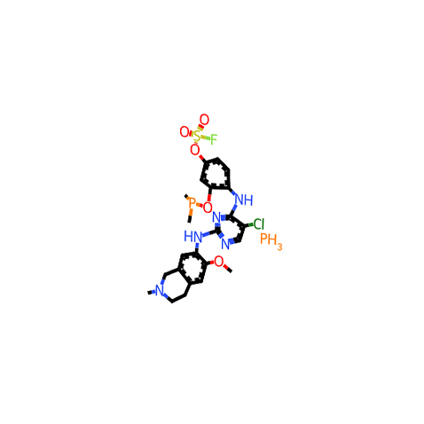 COc1cc2c(cc1Nc1ncc(Cl)c(Nc3ccc(OS(=O)(=O)F)cc3OP(C)C)n1)CN(C)CC2.P